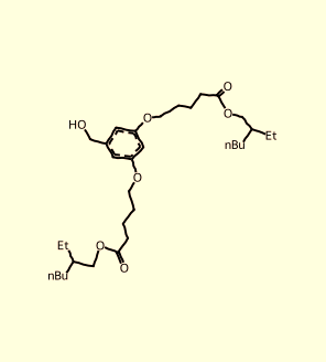 CCCCC(CC)COC(=O)CCCCOc1cc(CO)cc(OCCCCC(=O)OCC(CC)CCCC)c1